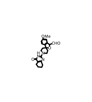 COc1ccc2c(c1)C(C=O)OC21CCN(c2nc3c(c(=O)[nH]2)CCCC3)CC1